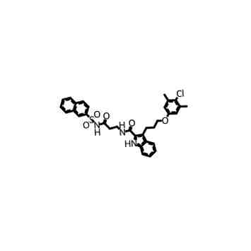 Cc1cc(OCCCc2c(C(=O)NCCC(=O)NS(=O)(=O)c3ccc4ccccc4c3)[nH]c3ccccc23)cc(C)c1Cl